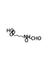 O=CCCC(=O)NCCCCCC(=O)OO